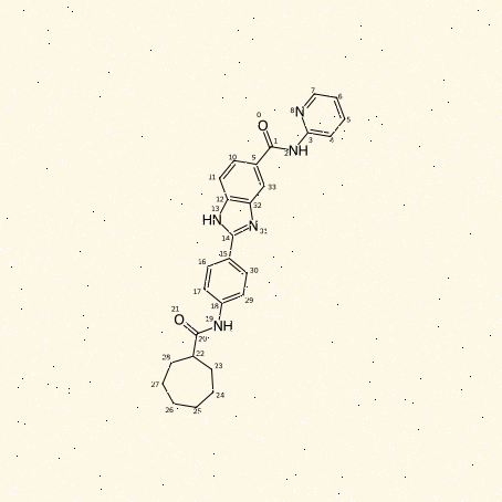 O=C(Nc1ccccn1)c1ccc2[nH]c(-c3ccc(NC(=O)C4CCCCCC4)cc3)nc2c1